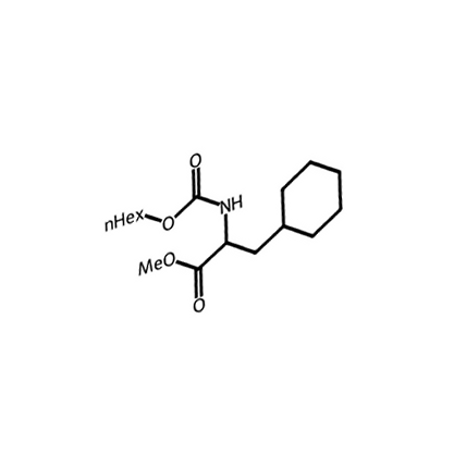 CCCCCCOC(=O)NC(CC1CCCCC1)C(=O)OC